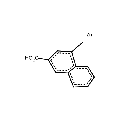 Cc1cc(C(=O)O)cc2ccccc12.[Zn]